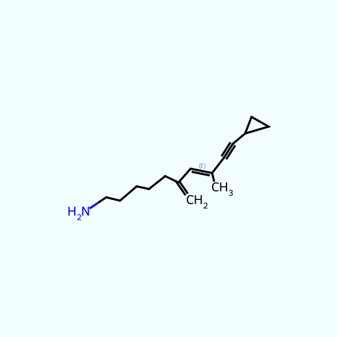 C=C(/C=C(\C)C#CC1CC1)CCCCCN